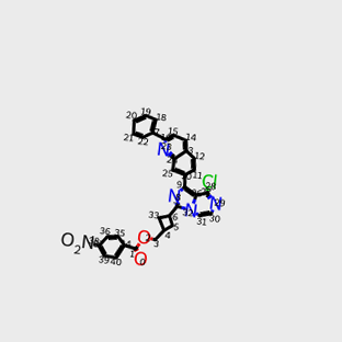 O=C(OCC1CC(c2nc(-c3ccc4ccc(-c5ccccc5)nc4c3)c3c(Cl)nccn23)C1)c1ccc([N+](=O)[O-])cc1